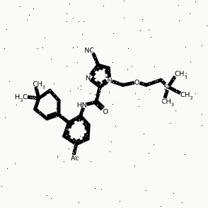 CC(=O)c1ccc(NC(=O)c2nc(C#N)cn2COCC[Si](C)(C)C)c(C2=CCC(C)(C)CC2)c1